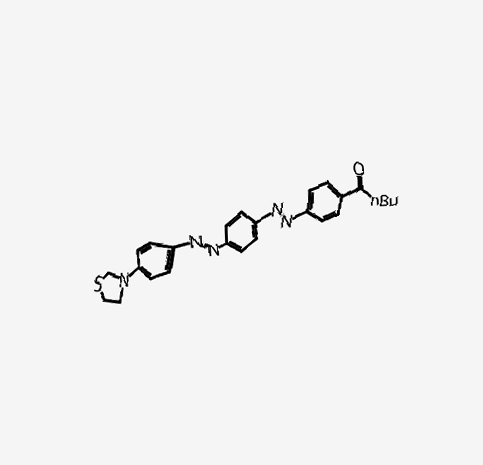 CCCCC(=O)c1ccc(N=Nc2ccc(N=Nc3ccc(N4CCSC4)cc3)cc2)cc1